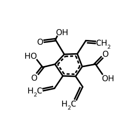 C=Cc1c(C=C)c(C(=O)O)c(C(=O)O)c(C=C)c1C(=O)O